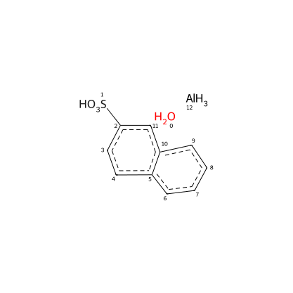 O.O=S(=O)(O)c1ccc2ccccc2c1.[AlH3]